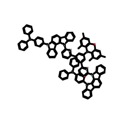 Cc1cc(C)c(B(c2cc(-c3cccc(-n4c5ccccc5c5ccc6c(c7ccccc7n6-c6ccc(B(c7ccccc7)c7ccccc7)cc6)c54)n3)cc(-c3cccc(-n4c5ccccc5c5ccc6c7ccccc7n(-c7ccc(B(c8ccccc8)c8ccccc8)cc7)c6c54)n3)c2)c2c(C)cc(C)cc2C)c(C)c1